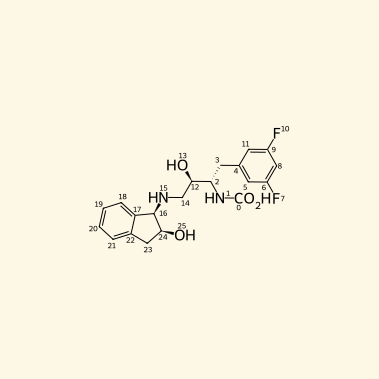 O=C(O)N[C@@H](Cc1cc(F)cc(F)c1)[C@H](O)CN[C@@H]1c2ccccc2C[C@@H]1O